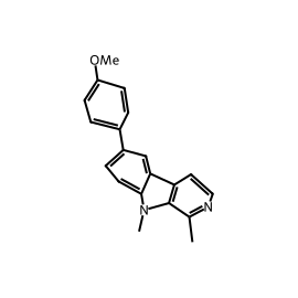 COc1ccc(-c2ccc3c(c2)c2ccnc(C)c2n3C)cc1